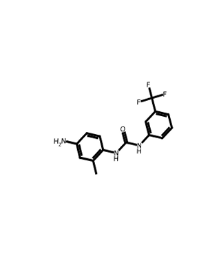 Cc1cc(N)ccc1NC(=O)Nc1cccc(C(F)(F)F)c1